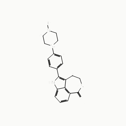 CC(C)N1CCN(c2ccc(-c3[nH]c4cccc5c4c3CCNC5=O)cc2)CC1